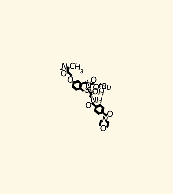 Cc1ncoc1COc1ccc2c(c1)CN(C(=O)OC(C)(C)C)[Si@H]([C@H](O)CNC(=O)c1ccc(C(=O)N3CCOCC3)cc1)C2